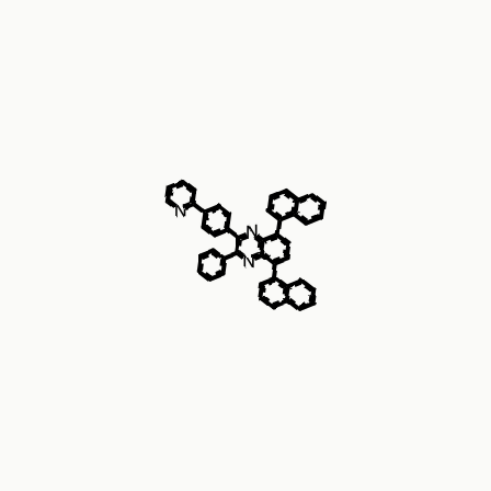 c1ccc(-c2nc3c(-c4cccc5ccccc45)ccc(-c4cccc5ccccc45)c3nc2-c2ccc(-c3ccccn3)cc2)cc1